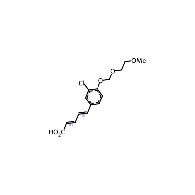 COCCOCOc1ccc(/C=C/C=C/C(=O)O)cc1Cl